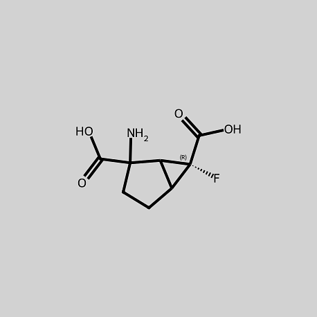 NC1(C(=O)O)CCC2C1[C@@]2(F)C(=O)O